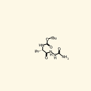 CC(C)[C@H](NC(=O)OC(C)(C)C)C(=O)NNC(N)=O